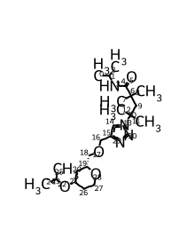 CC(C)NC(=O)C(C)(C)CC(C)(C)n1cc(COC[C@H]2C[C@H](OC(C)C)CCO2)nn1